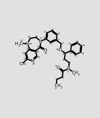 CCCC(=O)N(C)CCC(OCc1cccc(N2CCN(C)c3cc(Cl)ncc3C2=O)c1)c1ccccc1